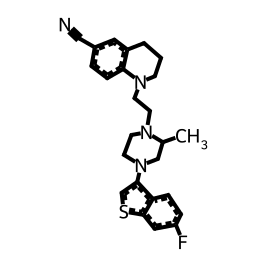 CC1CN(c2csc3cc(F)ccc23)CCN1CCN1CCCc2cc(C#N)ccc21